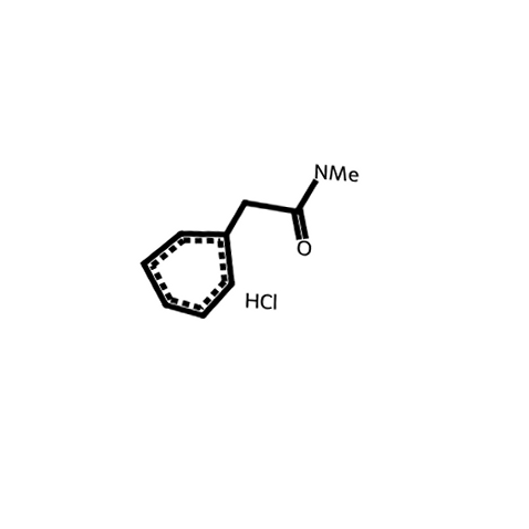 CNC(=O)Cc1ccccc1.Cl